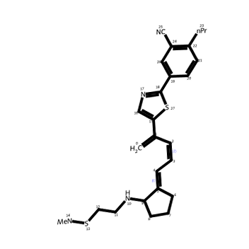 C=C(/C=C\C=C1/CCCC1NCCSNC)c1cnc(-c2ccc(CCC)c(C#N)c2)s1